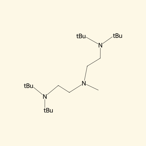 CN(CCN(C(C)(C)C)C(C)(C)C)CCN(C(C)(C)C)C(C)(C)C